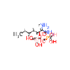 CCCCCC(N)N.O=P(O)(O)O.OB(O)O